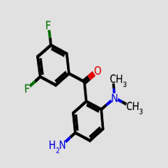 CN(C)c1ccc(N)cc1C(=O)c1cc(F)cc(F)c1